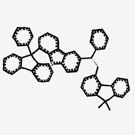 CC1(C)c2ccccc2-c2c(C[C@@H](c3ccccc3)c3ccc4sc5c(C6(c7ccccc7)c7ccccc7-c7ccccc76)cccc5c4c3)cccc21